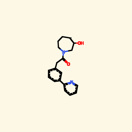 O=C(Cc1cccc(-c2ccccn2)c1)N1CCC[CH]C(O)C1